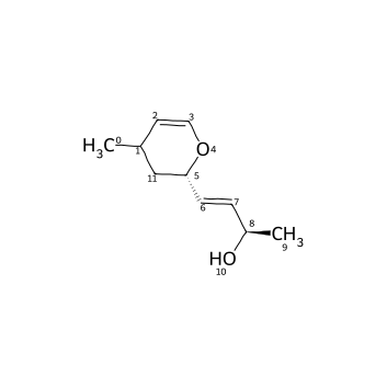 CC1C=CO[C@H](/C=C/[C@@H](C)O)C1